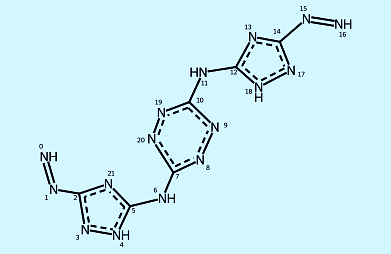 N=Nc1n[nH]c(Nc2nnc(Nc3nc(N=N)n[nH]3)nn2)n1